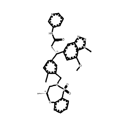 COc1cc([C@@H](CC(=O)Nc2cccnc2)c2ccc(C)c(CN3C[C@@H](C)Oc4ccccc4S3(=O)=O)c2)cc2nnn(C)c12